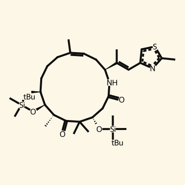 C/C1=C/C[C@@H](/C(C)=C/c2csc(C)n2)NC(=O)C[C@H](O[Si](C)(C)C(C)(C)C)C(C)(C)C(=O)[C@H](C)[C@@H](O[Si](C)(C)C(C)(C)C)[C@@H](C)CCC1